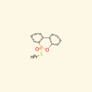 CCCSP1(=O)Oc2ccccc2-c2ccccc21